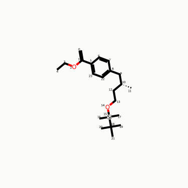 C=C(OCC)c1ccc(C[C@H](C)CCO[Si](C)(C)C(C)(C)C)cc1